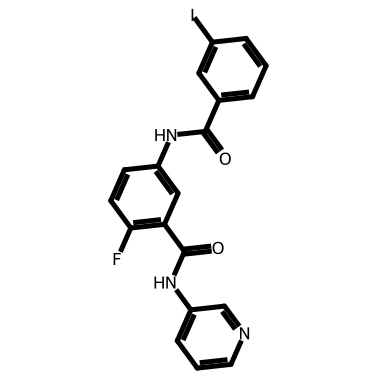 O=C(Nc1ccc(F)c(C(=O)Nc2cccnc2)c1)c1cccc(I)c1